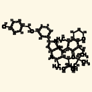 Cc1nc2cc(-c3cccc(OCc4ccc(Cl)cc4)c3)nn2c(-c2cc(F)c3c(c2C)CCCO3)c1C(OC(C)(C)C)C(=O)O